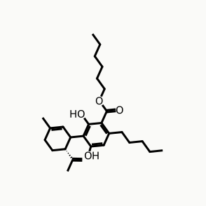 C=C(C)[C@@H]1CCC(C)=CC1c1c(O)cc(CCCCC)c(C(=O)OCCCCCC)c1O